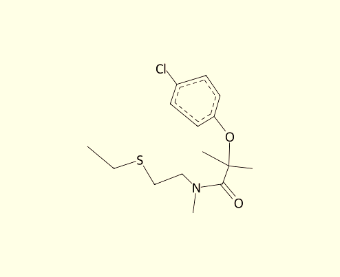 CCSCCN(C)C(=O)C(C)(C)Oc1ccc(Cl)cc1